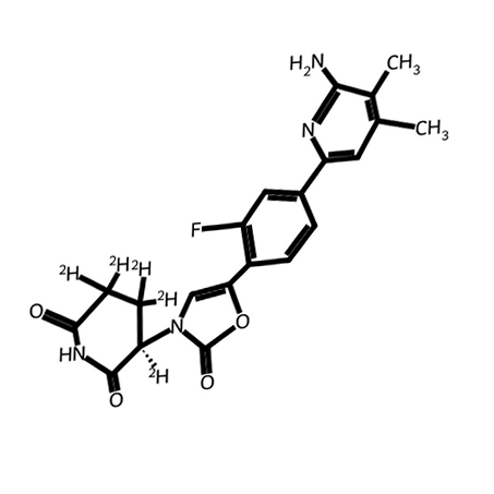 [2H]C1([2H])C(=O)NC(=O)[C@]([2H])(n2cc(-c3ccc(-c4cc(C)c(C)c(N)n4)cc3F)oc2=O)C1([2H])[2H]